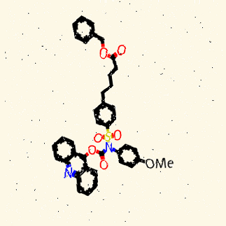 COc1ccc(N(C(=O)Oc2c3ccccc3nc3ccccc23)S(=O)(=O)c2ccc(CCCCC(=O)OCc3ccccc3)cc2)cc1